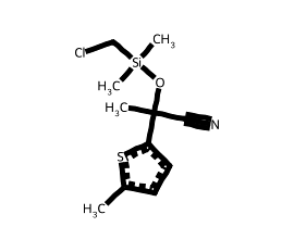 Cc1ccc(C(C)(C#N)O[Si](C)(C)CCl)s1